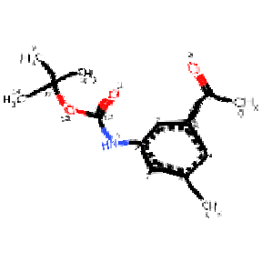 CC(=O)c1cc(C)cc(NC(=O)OC(C)(C)C)c1